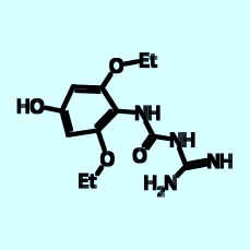 CCOc1cc(O)cc(OCC)c1NC(=O)NC(=N)N